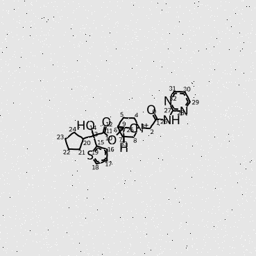 O=C(C[N+]12CCC(CC1)[C@@H](OC(=O)C(O)(c1cccs1)C1CCCC1)C2)Nc1ncccn1